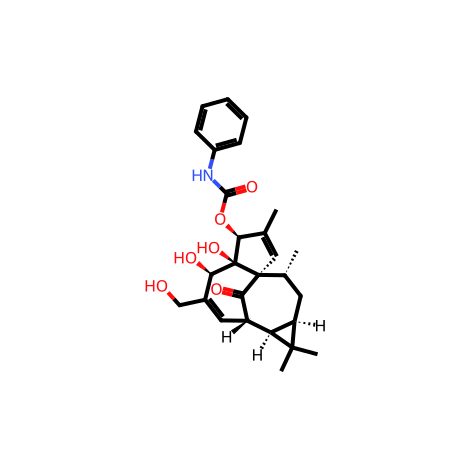 CC1=C[C@]23C(=O)[C@@H](C=C(CO)[C@@H](O)[C@]2(O)[C@H]1OC(=O)Nc1ccccc1)[C@H]1[C@@H](C[C@H]3C)C1(C)C